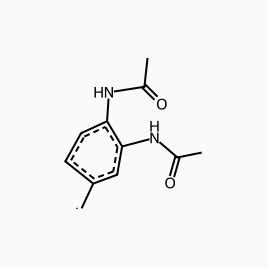 [CH2]c1ccc(NC(C)=O)c(NC(C)=O)c1